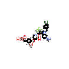 [C-]#[N+]c1ccc2c(C(O)(CN3CCC(Oc4ccc(CC(=O)O)cc4OC)CC3)C(F)(F)F)cn(Cc3ccc(Cl)cc3)c2c1